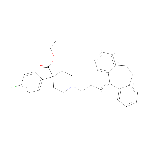 CCOC(=O)C1(c2ccc(Cl)cc2)CCN(CCC=C2c3ccccc3CCc3ccccc32)CC1